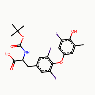 Cc1cc(Oc2c(I)cc(CC(NC(=O)OC(C)(C)C)C(=O)O)cc2I)cc(I)c1O